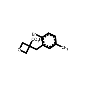 O=C(O)C1(Cc2cc(C(F)(F)F)ccc2Br)COC1